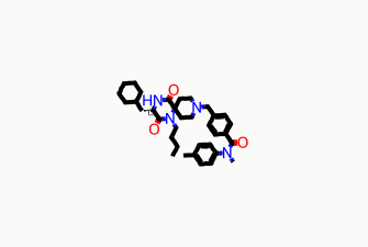 CCCCN1C(=O)[C@H](CC2CCCCC2)NC(=O)C12CCN(Cc1ccc(C(=O)N(C)c3ccc(C)cc3)cc1)CC2